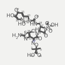 CC(C)(O/N=C(\C(=O)N[C@@H]1C(=O)N(S(=O)(=O)O)[C@@H]1CNC(=O)NCc1cc(=O)c(O)cn1O)c1nc(N)sc1Cl)C(=O)O